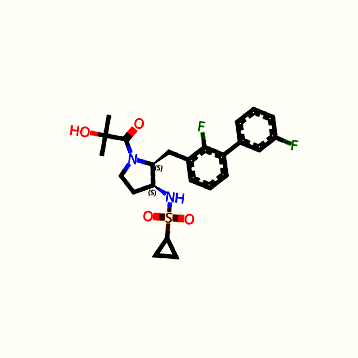 CC(C)(O)C(=O)N1CC[C@H](NS(=O)(=O)C2CC2)[C@@H]1Cc1cccc(-c2cccc(F)c2)c1F